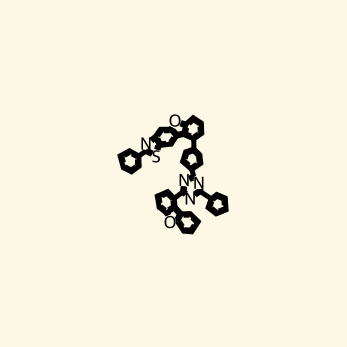 c1ccc(-c2nc(-c3ccc(-c4cccc5oc6cc7nc(-c8ccccc8)sc7cc6c45)cc3)nc(-c3cccc4oc5ccccc5c34)n2)cc1